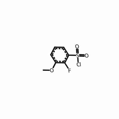 COc1cccc(S(=O)(=O)Cl)c1F